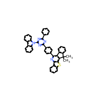 CC1(C)c2ccccc2-c2c(-c3ccc(-c4nc(-c5ccccc5)nc(-n5c6ccccc6c6ccccc65)n4)cc3)nc3c(sc4ccccc43)c21